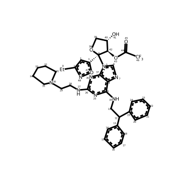 CCc1cc([C@]2(n3cnc4c(NCC(c5ccccc5)c5ccccc5)nc(NCCN5CCCCC5)nc43)OC[C@H](O)[C@H]2OC(=O)C(F)(F)F)on1